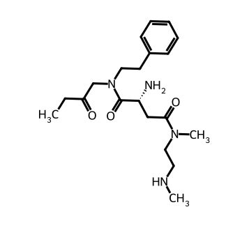 CCC(=O)CN(CCc1ccccc1)C(=O)[C@H](N)CC(=O)N(C)CCNC